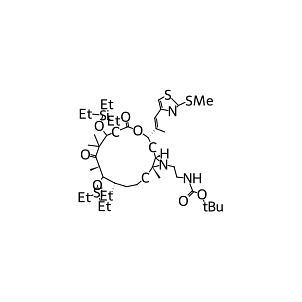 CC[Si](CC)(CC)OC1[C@@H](C)CCC[C@]2(C)[C@H](C[C@@H](/C(C)=C/c3csc(SC)n3)OC(=O)CC(O[Si](CC)(CC)CC)C(C)(C)C(=O)[C@@H]1C)N2CCNC(=O)OC(C)(C)C